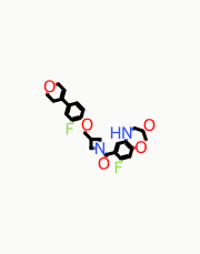 O=C1CNc2cc(C(=O)N3CC(COc4ccc(C5=CCOCC5)cc4F)C3)c(F)cc2OC1